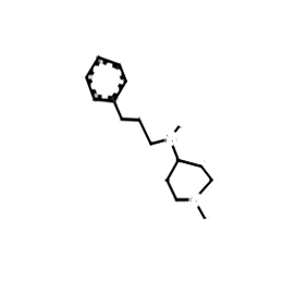 CN1CCC(N(C)CCCc2ccccc2)CC1